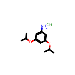 CC(C)Oc1cc(N)cc(OC(C)C)c1.Cl